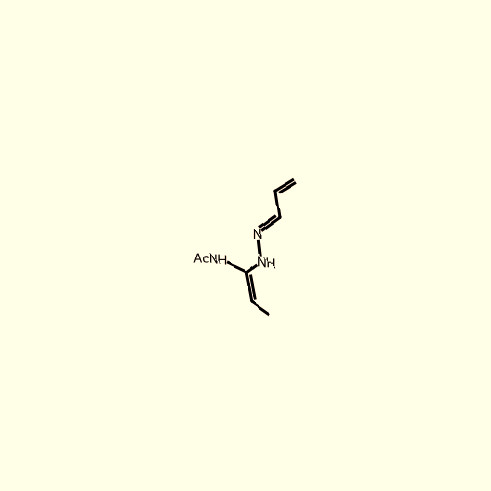 C=C/C=N/N/C(=C\C)NC(C)=O